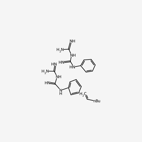 C=CCCCC.N=C(N)NC(=N)Nc1ccccc1.N=C(N)NC(=N)Nc1ccccc1